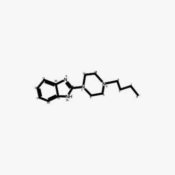 [CH2]CCCN1CCN(c2nc3ccccc3[nH]2)CC1